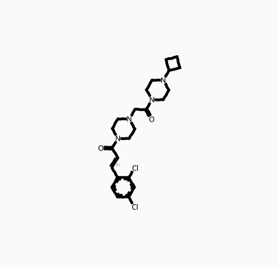 O=C(/C=C/c1ccc(Cl)cc1Cl)N1CCN(CC(=O)N2CCN(C3CCC3)CC2)CC1